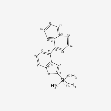 C[Si](C)(C)C1=Cc2c(cccc2-c2cccc3ccccc23)[CH]1